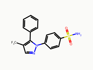 NS(=O)(=O)c1ccc(-n2ncc(C(F)(F)F)c2-c2ccccc2)cc1